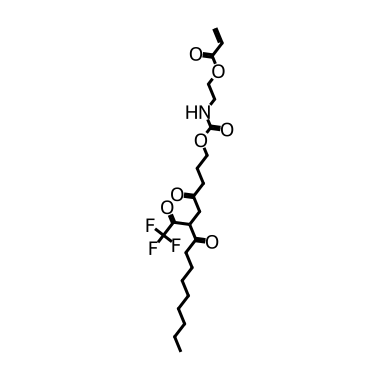 C=CC(=O)OCCNC(=O)OCCCC(=O)CC(C(=O)CCCCCCCC)C(=O)C(F)(F)F